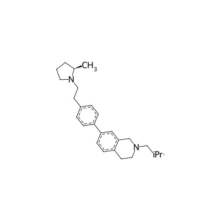 C[C](C)CN1CCc2ccc(-c3ccc(CCN4CCC[C@H]4C)cc3)cc2C1